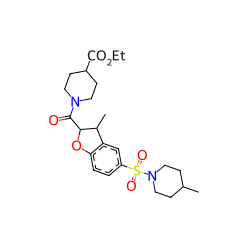 CCOC(=O)C1CCN(C(=O)C2Oc3ccc(S(=O)(=O)N4CCC(C)CC4)cc3C2C)CC1